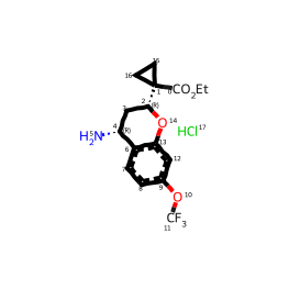 CCOC(=O)C1([C@H]2C[C@@H](N)c3ccc(OC(F)(F)F)cc3O2)CC1.Cl